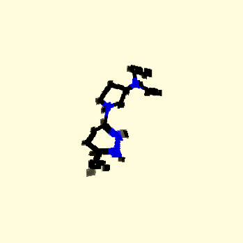 CC(C)(C)N(C(=O)O)C1CCN(c2ccc(C(F)(F)F)nn2)C1